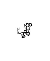 CNCCC(Oc1ccccc1N1CCC2(CC1)c1ccccc1CCN2C)c1cccs1